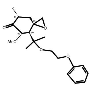 CO[C@@H]1C(=O)[C@H](C)C[C@]2(CO2)[C@H]1C(C)(C)OCCOc1ccccc1